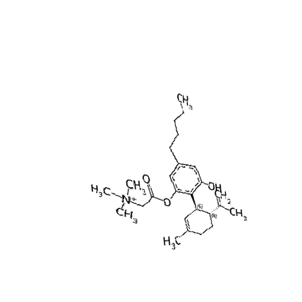 C=C(C)[C@@H]1CCC(C)=C[C@H]1c1c(O)cc(CCCCC)cc1OC(=O)C[N+](C)(C)C